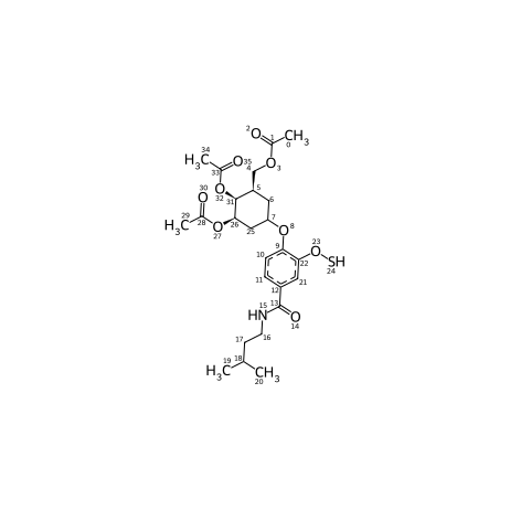 CC(=O)OC[C@H]1CC(Oc2ccc(C(=O)NCCC(C)C)cc2OS)C[C@@H](OC(C)=O)[C@H]1OC(C)=O